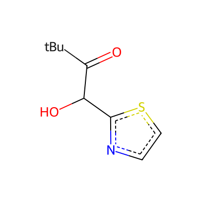 CC(C)(C)C(=O)C(O)c1nccs1